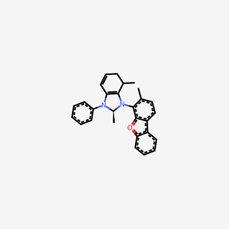 Cc1ccc2c(oc3ccccc32)c1N1C2=C(C=CCC2C)N(c2ccccc2)[C@@H]1C